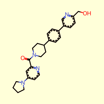 O=C(c1cc(N2CCCC2)ccn1)N1CCC(c2ccc(-c3ccc(CO)nc3)cc2)CC1